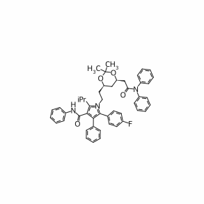 CC(C)c1c(C(=O)Nc2ccccc2)c(-c2ccccc2)c(-c2ccc(F)cc2)n1CC[C@@H]1C[C@H](CC(=O)N(c2ccccc2)c2ccccc2)OC(C)(C)O1